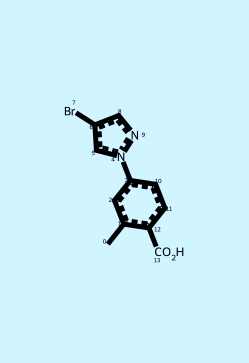 Cc1cc(-n2cc(Br)cn2)ccc1C(=O)O